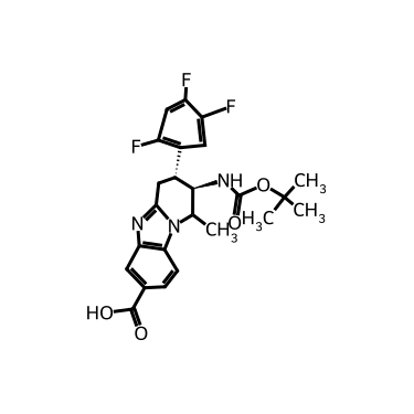 CC1[C@H](NC(=O)OC(C)(C)C)[C@@H](c2cc(F)c(F)cc2F)Cc2nc3cc(C(=O)O)ccc3n21